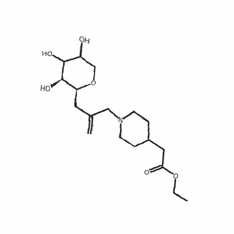 C=C(C[C@@H]1OCC(O)C(O)[C@@H]1O)CN1CCC(CC(=O)OCC)CC1